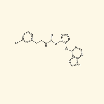 O=C(NCCc1cccc(Cl)c1)Oc1sccc1Nc1ncnc2[nH]ccc12